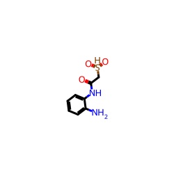 Nc1ccccc1NC(=O)C[SH](=O)=O